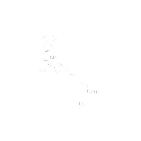 C=CCN(C)CCCCCCOc1ccc(N(C)C(=S)Nc2ccc3c(c2)OCCO3)cc1